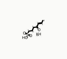 CC=CC(=O)CCCS(=O)(=O)O.[KH]